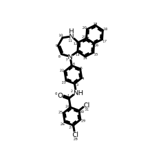 O=C(Nc1ccc(N2C=CCNc3c2ccc2ccccc32)cc1)c1ccc(Cl)cc1Cl